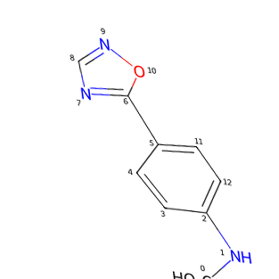 O=C(O)Nc1ccc(-c2ncno2)cc1